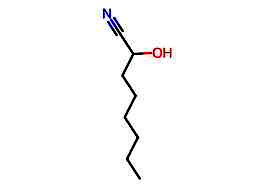 CCCCCCC(O)C#N